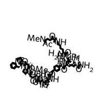 CC[C@H](C)[C@@H]([C@@H](CC(=O)N1CCC[C@H]1[C@H](OC)[C@@H](C)C(=O)N[C@@H](Cc1ccccc1)c1nccs1)OC)N(C)C(=O)[C@@H](NC(=O)C(C)(C)NC(=O)OCc1ccc(NC(=O)[C@H](CCCNC(N)=O)NC(=O)[C@@H](NC(=O)[C@@H](N)CCCCNC(C)(C)C(=O)CC[C@@H](NC)C(C)=O)C(C)C)cc1)C(C)C